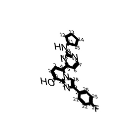 Oc1ccc(-c2ccnc(NC3CCCC3)n2)n2cc(-c3ccc(F)cc3)nc12